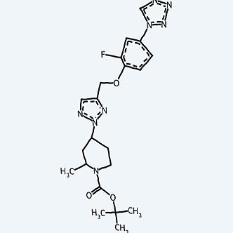 CC1CC(n2ncc(COc3ccc(-n4cnnn4)cc3F)n2)CCN1C(=O)OC(C)(C)C